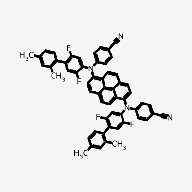 Cc1ccc(-c2cc(F)c(N(c3ccc(C#N)cc3)c3ccc4ccc5c(N(c6ccc(C#N)cc6)c6cc(F)c(-c7ccc(C)cc7C)cc6F)ccc6ccc3c4c65)cc2F)c(C)c1